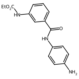 CCOC(=O)Nc1cccc(C(=O)Nc2ccc(N)cc2)c1